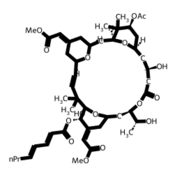 CCC/C=C/C=C/C(=O)O[C@H]1/C(=C/C(=O)OC)CC2C[C@H]([C@@H](C)O)OC(=O)C[C@H](O)C[C@@H]3C[C@H](OC(C)=O)C(C)(C)[C@H](C[C@@H]4C/C(=C/C(=O)OC)C[C@H](/C=C/C(C)(C)[C@]1(O)O2)O4)O3